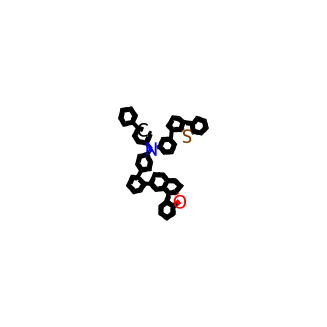 c1ccc(-c2ccc(N(c3ccc(-c4ccccc4-c4ccc5ccc6oc7ccccc7c6c5c4)cc3)c3cccc(-c4cccc5c4sc4ccccc45)c3)cc2)cc1